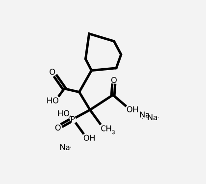 CC(C(=O)O)(C(C(=O)O)C1CCCCC1)P(=O)(O)O.[Na].[Na].[Na]